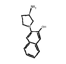 N[C@@H]1CCN(c2cc3ccccc3cc2O)C1